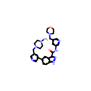 CN1CCN(Cc2cncc(-c3ccc4[nH]nc(C(=O)Nc5cncc(CN6CCOCC6)c5)c4c3)c2)CC1